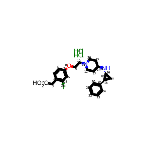 Cl.Cl.O=C(O)Cc1ccc(OCCN2CCC(N[C@@H]3C[C@H]3c3ccccc3)CC2)cc1F